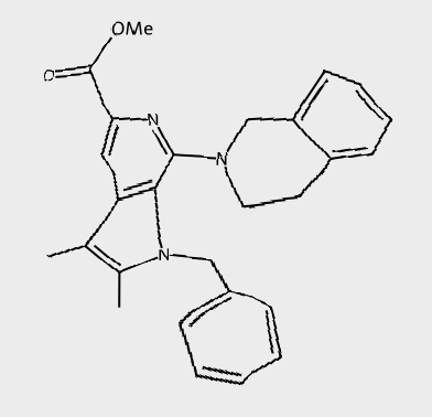 COC(=O)c1cc2c(C)c(C)n(Cc3ccccc3)c2c(N2CCc3ccccc3C2)n1